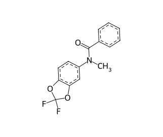 CN(C(=O)c1ccccc1)c1ccc2c(c1)OC(F)(F)O2